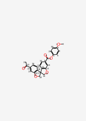 COc1ccc(OC(=O)c2ccc3c(c2)OCC32COc3cc(C(C)=O)ccc32)cc1